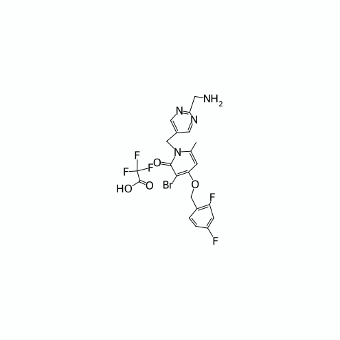 Cc1cc(OCc2ccc(F)cc2F)c(Br)c(=O)n1Cc1cnc(CN)nc1.O=C(O)C(F)(F)F